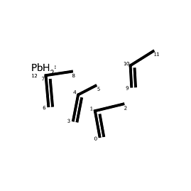 C=CC.C=CC.C=CC.C=CC.[PbH2]